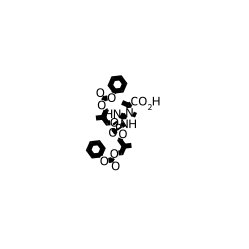 CC(COC(=O)OC1CCCCC1)COP(=O)(NC(=N)N(C)C(C)C(=O)O)OCC(C)COC(=O)OC1CCCCC1